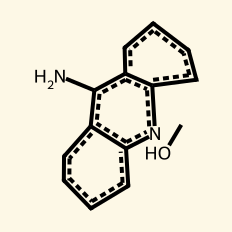 CO.Nc1c2ccccc2nc2ccccc12